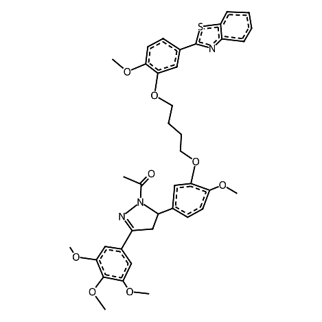 COc1ccc(-c2nc3ccccc3s2)cc1OCCCCOc1cc(C2CC(c3cc(OC)c(OC)c(OC)c3)=NN2C(C)=O)ccc1OC